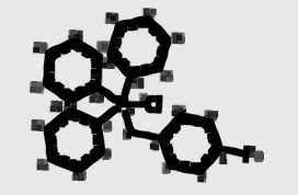 Fc1ccc(CP(Cl)(c2ccccc2)(c2ccccc2)c2ccccc2)cc1